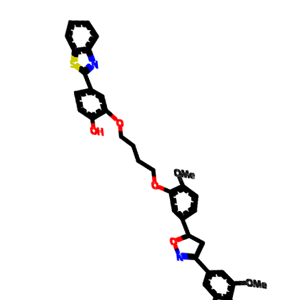 COc1ccc(C2CC(c3cc(OC)c(OC)c(OC)c3)=NO2)cc1OCCCCOc1cc(-c2nc3ccccc3s2)ccc1O